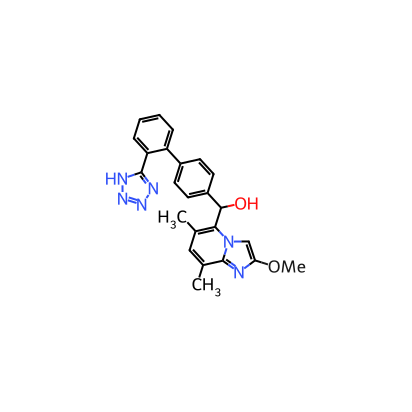 COc1cn2c(C(O)c3ccc(-c4ccccc4-c4nnn[nH]4)cc3)c(C)cc(C)c2n1